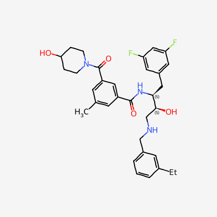 CCc1cccc(CNC[C@H](O)[C@H](Cc2cc(F)cc(F)c2)NC(=O)c2cc(C)cc(C(=O)N3CCC(O)CC3)c2)c1